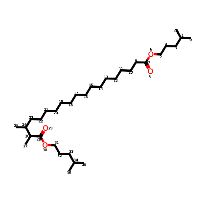 CC(C)CCCOC(=O)CCCCCCCCCCCCCCCC(C)C(C)C(=O)OCCCC(C)C